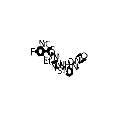 CCc1nc2n(c1N(C)c1nc(-c3ccc(F)cc3)c(C#N)s1)NC(N1CCCC(N(C)C(=O)N3CCOCC3)C1)S2